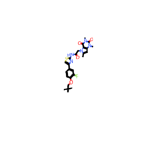 Cc1cc2c(c(=O)n(C)c(=O)n2C)n1CC(=O)Nc1nc(-c2ccc(OCC(C)(C)C)c(F)c2)cs1